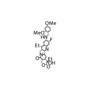 CCc1c2c(nc3cc(F)c(NCc4ccc(OC)cc4OC)cc13)-c1cc3c(c(=O)n1C2)COC(=O)[C@]3(O)CC